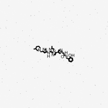 Cc1cn2c(-c3cnn(CC(=O)NCc4ccccc4O)c3)cnc2c(Nc2cc(CN3CCCC(C)C3)ns2)n1